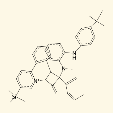 C=C(/C=C\C)C1(N(C)c2ccccc2Nc2ccc(C(C)(C)C)cc2)C(=C)C2C1c1ccccc1-c1ccc([Si](C)(C)C)c[n+]12